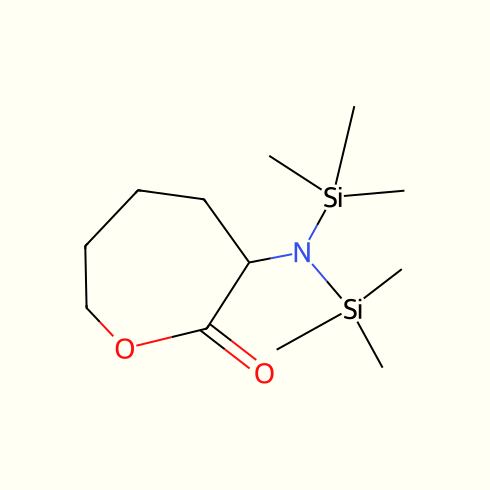 C[Si](C)(C)N(C1CCCCOC1=O)[Si](C)(C)C